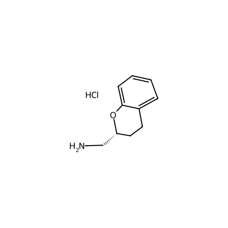 Cl.NC[C@H]1CCc2ccccc2O1